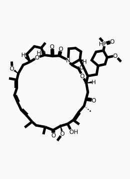 COC1CC(CC2[C@H]3CCCN4C(=O)C(=O)C5(O)O[C@@H](CCC5C)C[C@H](OC)/C(C)=C/C=C/C=C/C(C)CC(C)C(=O)[C@H](OC)C(O)/C(C)=C/[C@@H](C)C(=O)C[C@@H]2OC(=O)C34)CCC1[PH](C)=O